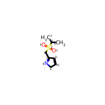 CC(C)S(=O)(=O)CC1=NCC=C1